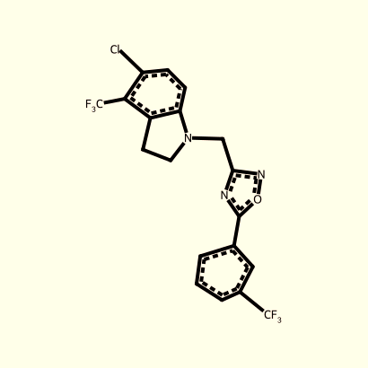 FC(F)(F)c1cccc(-c2nc(CN3CCc4c3ccc(Cl)c4C(F)(F)F)no2)c1